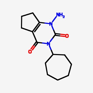 Nn1c2c(c(=O)n(C3CCCCCC3)c1=O)CCC2